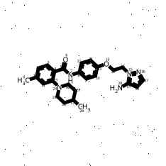 Cc1ccc(C(=O)Nc2ccc(OCCn3nccc3N)cc2)c(N2CCC(C)CC2)c1